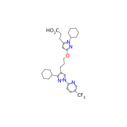 O=C(O)CCc1cc(OCCCc2cn(-c3ccc(C(F)(F)F)cn3)nc2C2CCCCC2)nn1C1CCCCC1